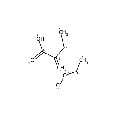 C=C(CC)C(=O)O.CCOCl